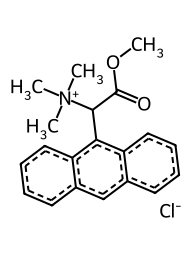 COC(=O)C(c1c2ccccc2cc2ccccc12)[N+](C)(C)C.[Cl-]